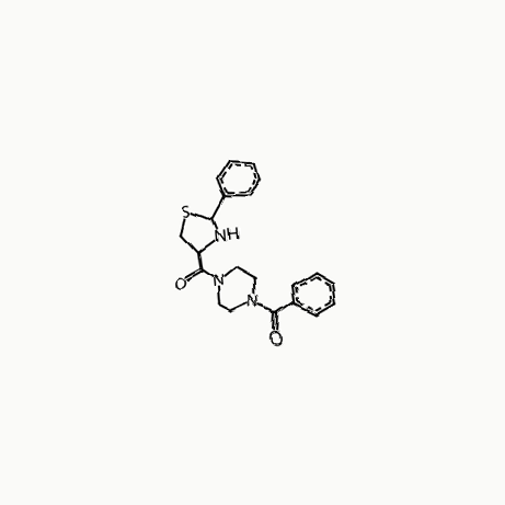 O=C(c1ccccc1)N1CCN(C(=O)C2CSC(c3ccccc3)N2)CC1